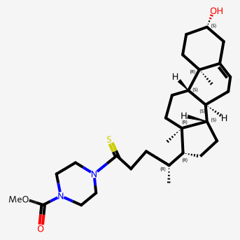 COC(=O)N1CCN(C(=S)CC[C@@H](C)[C@H]2CC[C@H]3[C@@H]4CC=C5C[C@@H](O)CC[C@]5(C)[C@H]4CC[C@]23C)CC1